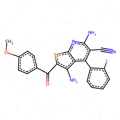 COc1ccc(C(=O)c2sc3nc(N)c(C#N)c(-c4ccccc4I)c3c2N)cc1